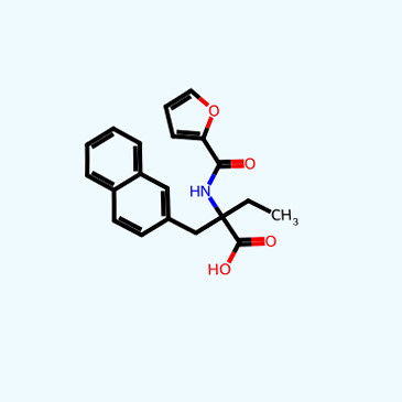 CCC(Cc1ccc2ccccc2c1)(NC(=O)c1ccco1)C(=O)O